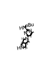 CCCCNc1nccc(N2CC3CNCC3C2)n1